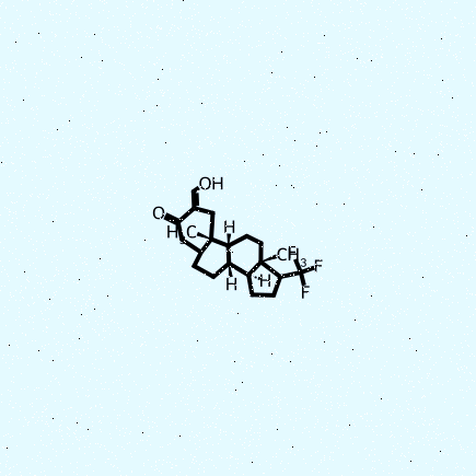 C[C@]12CC(=CO)C(=O)CC1CC[C@@H]1[C@H]2CC[C@]2(C)C(C(F)(F)F)CC[C@@H]12